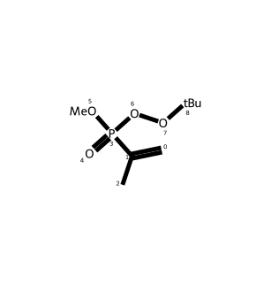 C=C(C)P(=O)(OC)OOC(C)(C)C